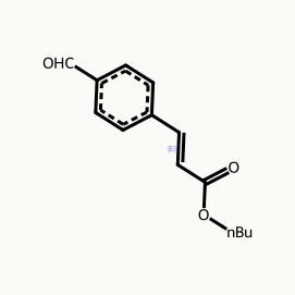 CCCCOC(=O)/C=C/c1ccc(C=O)cc1